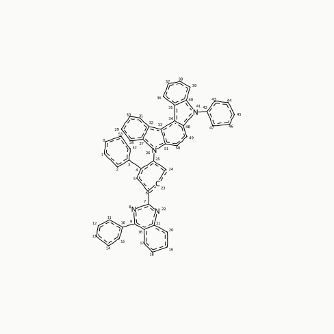 c1ccc(-c2cc(-c3nc(-c4ccccc4)c4ccccc4n3)ccc2-n2c3ccccc3c3c4c5ccccc5n(-c5ccccc5)c4ccc32)cc1